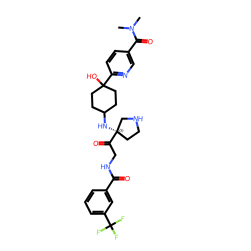 CN(C)C(=O)c1ccc(C2(O)CCC(N[C@@]3(C(=O)CNC(=O)c4cccc(C(F)(F)F)c4)CCNC3)CC2)nc1